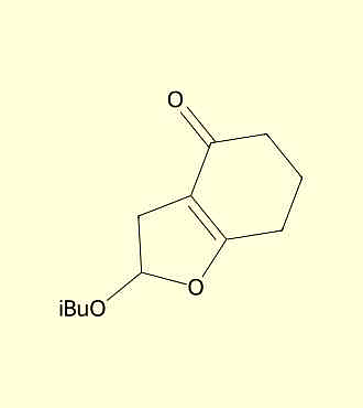 CC(C)COC1CC2=C(CCCC2=O)O1